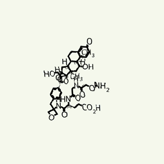 C[C@]12C=CC(=O)C=C1CCC1[C@@H]2[C@@H](O)C[C@@]2(C)[C@H]1C[C@H]1O[C@@H](c3ccc(CC4(NC(=O)[C@H](CCC(=O)O)NC(=O)CNC(=O)CON)COC4)cc3)O[C@]12C(=O)CO